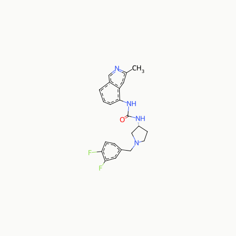 Cc1cc2c(NC(=O)N[C@@H]3CCN(Cc4ccc(F)c(F)c4)C3)cccc2cn1